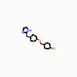 Clc1ccc(COc2ccc(Cc3ncc[nH]3)cc2)cc1